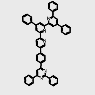 c1ccc(-c2cc(-c3ccccc3)nc(-c3cc(-c4ccccc4)cc(-c4ccc(-c5ccc(-c6cc(-c7ccccc7)nc(-c7ccccc7)n6)cc5)cn4)n3)c2)cc1